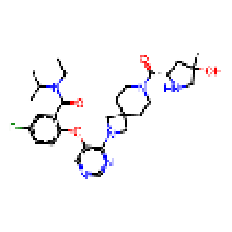 CCN(C(=O)c1cc(F)ccc1Oc1cncnc1N1CC2(CCN(C(=O)[C@@H]3CC(C)(O)CN3)CC2)C1)C(C)C